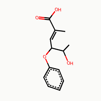 CC(=CC(Oc1ccccc1)C(C)O)C(=O)O